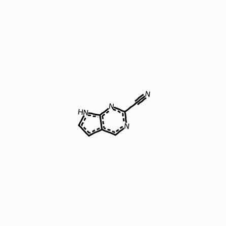 N#Cc1ncc2cc[nH]c2n1